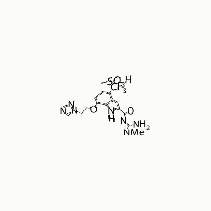 CNC(N)=NC(=O)c1cc2c(C(F)(F)F)ccc(OCCn3cncn3)c2[nH]1.CS(=O)(=O)O